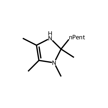 CCCCCC1(C)NC(C)=C(C)N1C